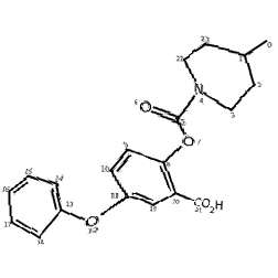 CC1CCN(C(=O)Oc2ccc(Oc3ccccc3)cc2C(=O)O)CC1